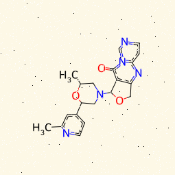 Cc1cc(C2CN(C3OCc4nc5ccncn5c(=O)c43)CC(C)O2)ccn1